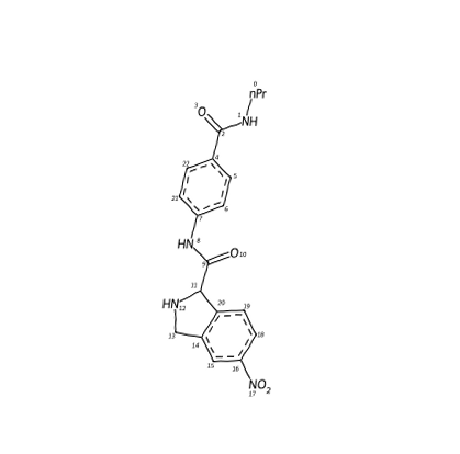 CCCNC(=O)c1ccc(NC(=O)C2NCc3cc([N+](=O)[O-])ccc32)cc1